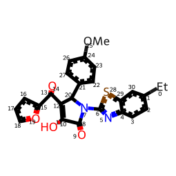 CCc1ccc2nc(N3C(=O)C(O)=C(C(=O)c4ccco4)C3c3ccc(OC)cc3)sc2c1